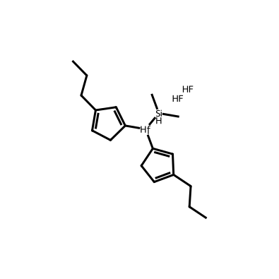 CCCC1=CC[C]([Hf]([C]2=CC(CCC)=CC2)[SiH](C)C)=C1.F.F